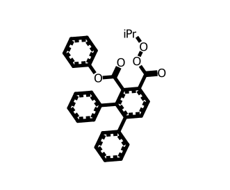 CC(C)OOC(=O)c1ccc(-c2ccccc2)c(-c2ccccc2)c1C(=O)Oc1ccccc1